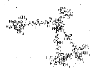 CC[C@H]1O[C@@H](OCCCCCNC(=O)COCCNC(=O)CCC(CCC(=O)NCCOCC(=O)NCCCCCO[C@@H]2O[C@H](CC)[C@H](C)[C@H](OC(C)=O)[C@H]2NC(C)=O)(CCC(=O)NCCOCC(=O)NCCCCCO[C@@H]2O[C@H](CC)[C@H](C)[C@H](OC(C)=O)[C@H]2NC(C)=O)NC(=O)OCC2c3ccccc3-c3ccccc32)[C@H](NC(C)=O)[C@@H](OC(C)=O)[C@H]1C